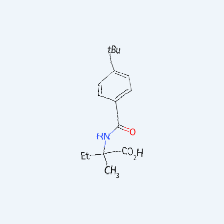 CCC(C)(NC(=O)c1ccc(C(C)(C)C)cc1)C(=O)O